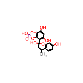 CC(CC(O)(O)c1c(O)cc(O)cc1OP(=O)(O)O)c1ccc(O)cc1